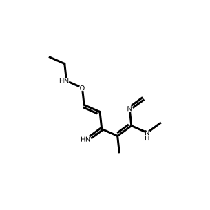 C=N/C(NC)=C(/C)C(=N)/C=C/ONCC